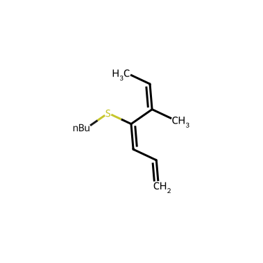 C=C/C=C(SCCCC)\C(C)=C/C